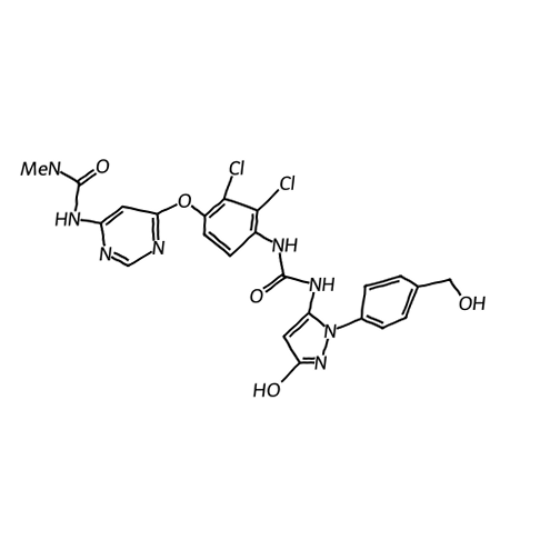 CNC(=O)Nc1cc(Oc2ccc(NC(=O)Nc3cc(O)nn3-c3ccc(CO)cc3)c(Cl)c2Cl)ncn1